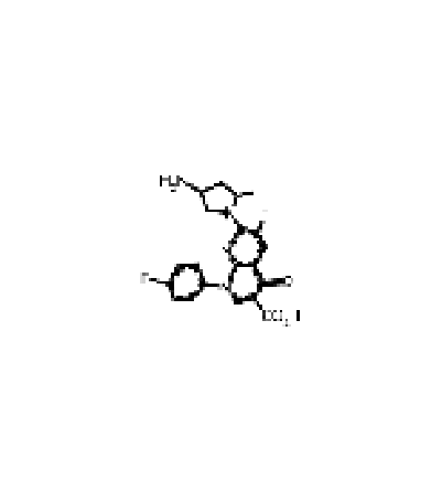 CC1CC(N)CN1c1nc2c(cc1F)c(=O)c(C(=O)O)cn2-c1ccc(F)cc1